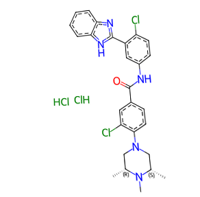 C[C@@H]1CN(c2ccc(C(=O)Nc3ccc(Cl)c(-c4nc5ccccc5[nH]4)c3)cc2Cl)C[C@H](C)N1C.Cl.Cl